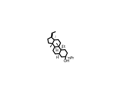 C/C=C1/CC[C@@]2(C)[C@@H]3CC[C@@H]4C[C@@](O)(CCC)CC[C@]4(CC)[C@@]3(C)CC[C@]12C